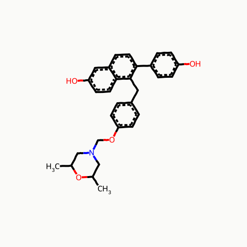 CC1CN(COc2ccc(Cc3c(-c4ccc(O)cc4)ccc4cc(O)ccc34)cc2)CC(C)O1